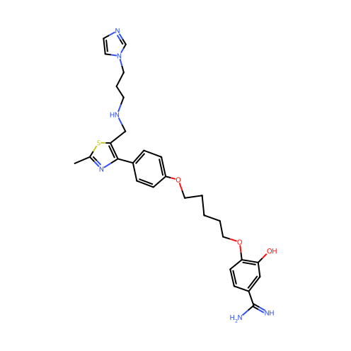 Cc1nc(-c2ccc(OCCCCCOc3ccc(C(=N)N)cc3O)cc2)c(CNCCCn2ccnc2)s1